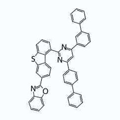 c1ccc(-c2ccc(-c3cc(-c4cccc(-c5ccccc5)c4)nc(-c4cccc5sc6cc(-c7nc8ccccc8o7)ccc6c45)n3)cc2)cc1